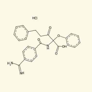 Cl.N=C(N)c1ccc(C(=O)NC(Oc2ccccc2)(C(=O)O)C(=O)CCc2ccccc2)cc1